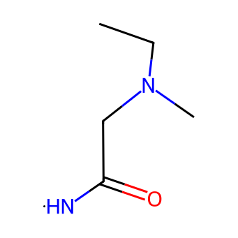 CCN(C)CC([NH])=O